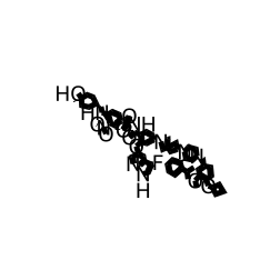 COc1cc(CN2CCN(C3CC4(C3)CN(c3ccc(C(=O)NS(=O)(=O)c5ccc(NC[C@H]6CC[C@](C)(O)CC6)c([N+](=O)[O-])c5)c(Oc5cnc6[nH]cc(F)c6c5)c3)C4)[C@H](c3ccccc3C(C)C)C2)ccc1OC1CCC1